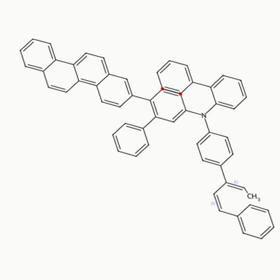 C/C=C(\C=C/c1ccccc1)c1ccc(N(c2ccc(-c3ccc4c(ccc5c6ccccc6ccc45)c3)c(-c3ccccc3)c2)c2ccccc2-c2ccccc2)cc1